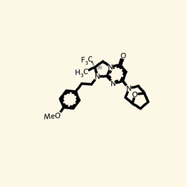 COc1ccc(CCN2c3nc(N4CC5CCC(C4)O5)cc(=O)n3C[C@@]2(C)C(F)(F)F)cc1